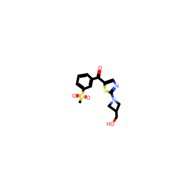 CS(=O)(=O)c1cccc(C(=O)c2cnc(N3CC(CO)C3)s2)c1